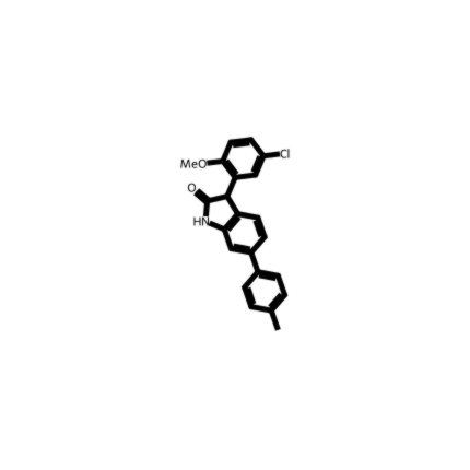 COc1ccc(Cl)cc1C1C(=O)Nc2cc(-c3ccc(C)cc3)ccc21